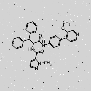 COc1cnccc1-c1ccc(NC(=O)C(NC(=O)c2ccnn2C)C(c2ccccc2)c2ccccc2)cc1